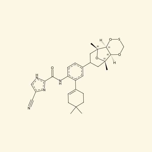 CC1(C)CC=C(c2cc(C3C[C@@]4(C)O[C@@](C)(C3)[C@@H]3OCSO[C@@H]34)ccc2NC(=O)c2nc(C#N)c[nH]2)CC1